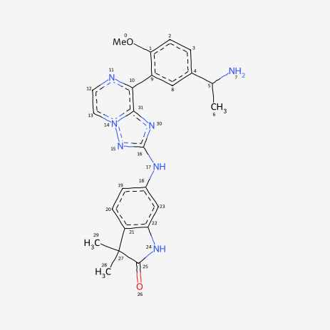 COc1ccc(C(C)N)cc1-c1nccn2nc(Nc3ccc4c(c3)NC(=O)C4(C)C)nc12